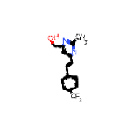 Cc1nc(/C=C/c2ccc(C(F)(F)F)cc2)cc(CO)n1